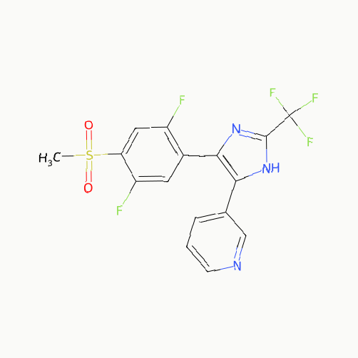 CS(=O)(=O)c1cc(F)c(-c2nc(C(F)(F)F)[nH]c2-c2cccnc2)cc1F